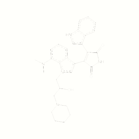 CN(C)c1cccc2c(C3=C(c4c[nH]c5ccccc45)C(=O)NC3=O)cn(CC(O)CN3CCCCC3)c12